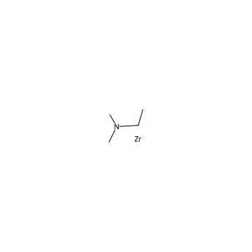 CCN(C)C.[Zr]